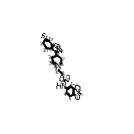 O=C(Nc1ccc2c(c1)OCO2)OCCN1CCC(c2noc3cc(F)ccc23)CC1